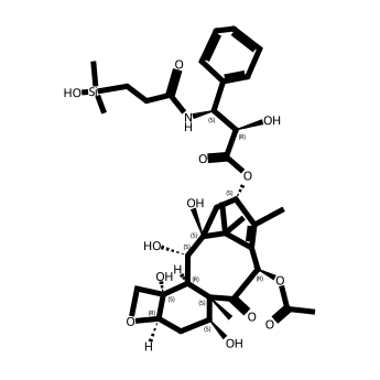 CC(=O)O[C@H]1C(=O)[C@@]2(C)[C@H]([C@H](O)[C@]3(O)C[C@H](OC(=O)[C@H](O)[C@@H](NC(=O)CC[Si](C)(C)O)c4ccccc4)C(C)=C1C3(C)C)[C@]1(O)CO[C@@H]1C[C@@H]2O